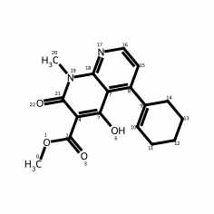 COC(=O)c1c(O)c2c(C3=CCCCC3)ccnc2n(C)c1=O